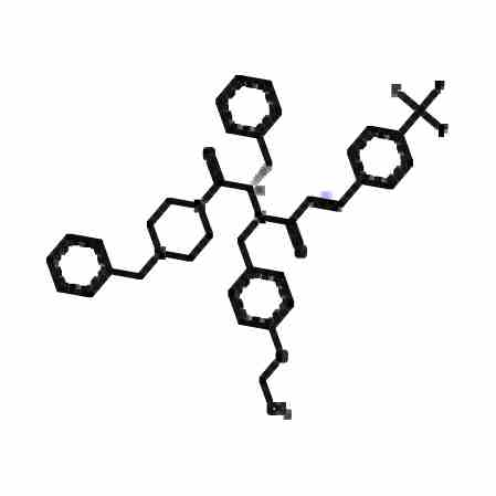 CCOc1ccc(CN(C(=O)/C=C/c2ccc(C(F)(F)F)cc2)[C@@H](Cc2ccccc2)C(=O)N2CCN(Cc3ccccc3)CC2)cc1